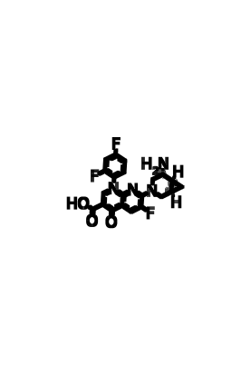 N[C@H]1CN(c2nc3c(cc2F)c(=O)c(C(=O)O)cn3-c2ccc(F)cc2F)C[C@@H]2C[C@@H]21